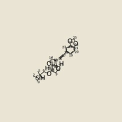 C[SiH](C)C(C)(C)CO[C@@H]1CO[C@H]2[C@@H]1OC[C@@H]2C#Cc1ccc2c(c1)OCO2